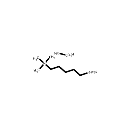 CCCCCCCCCCCC[N+](C)(C)C.O=C(O)O